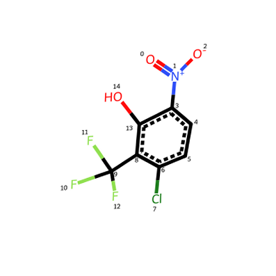 O=[N+]([O-])c1ccc(Cl)c(C(F)(F)F)c1O